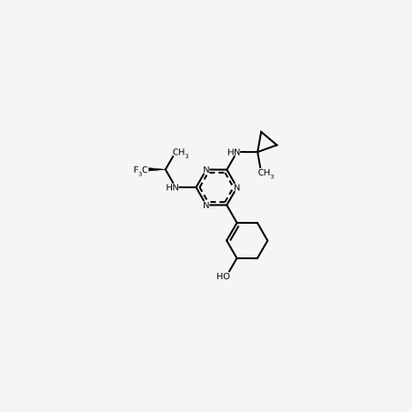 C[C@@H](Nc1nc(NC2(C)CC2)nc(C2=CC(O)CCC2)n1)C(F)(F)F